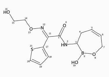 O=C(NC1CC=CCOB1O)/C(=N/OCCO)c1cccs1